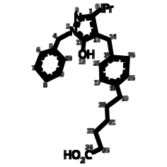 CC(C)c1nn(Cc2ccccc2)c(O)c1Cc1ccc(CCCCCC(=O)O)cc1